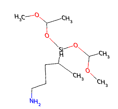 COC(C)O[SiH](OC(C)OC)C(C)CCCN